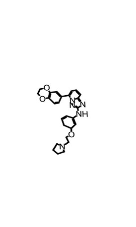 C1=CC(Nc2nc3cccc(-c4ccc5c(c4)OCCO5)n3n2)=CC(OCCN2CCCC2)C1